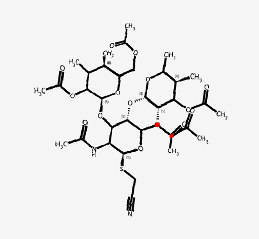 CC(=O)NC1C(O[C@@H]2OC(COC(C)=O)[C@H](C)C(C)C2OC(C)=O)[C@H](O[C@@H]2OC(C)[C@@H](C)C(OC(C)=O)[C@@H]2OC(C)=O)C(COC(C)=O)O[C@H]1SCC#N